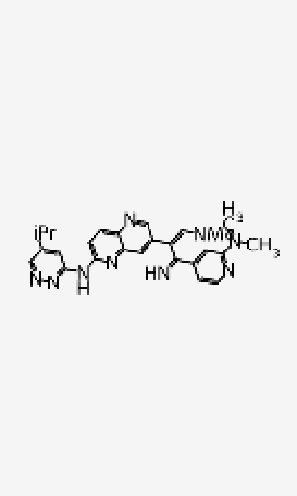 CN/C=C(\C(=N)c1ccnc(N(C)C)c1)c1cnc2ccc(Nc3cc(C(C)C)cnn3)nc2c1